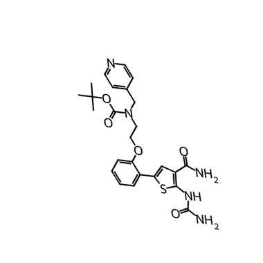 CC(C)(C)OC(=O)N(CCOc1ccccc1-c1cc(C(N)=O)c(NC(N)=O)s1)Cc1ccncc1